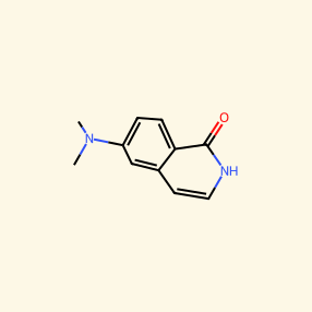 CN(C)c1ccc2c(=O)[nH]ccc2c1